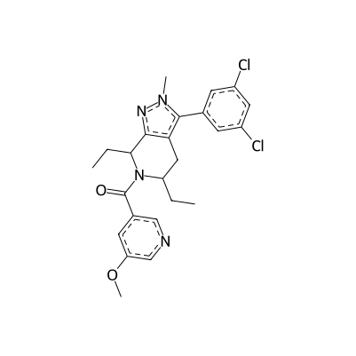 CCC1Cc2c(nn(C)c2-c2cc(Cl)cc(Cl)c2)C(CC)N1C(=O)c1cncc(OC)c1